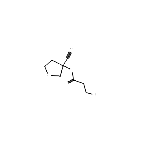 CCCC(=O)NC1(C#N)CCOC1